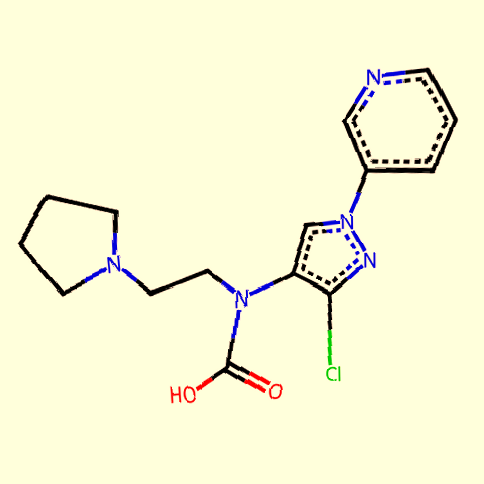 O=C(O)N(CCN1CCCC1)c1cn(-c2cccnc2)nc1Cl